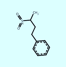 [CH2]C(CCc1ccccc1)[SH](=O)=O